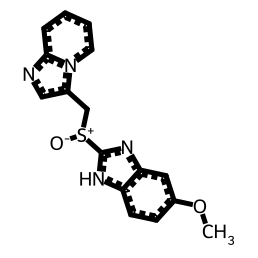 COc1ccc2[nH]c([S+]([O-])Cc3cnc4ccccn34)nc2c1